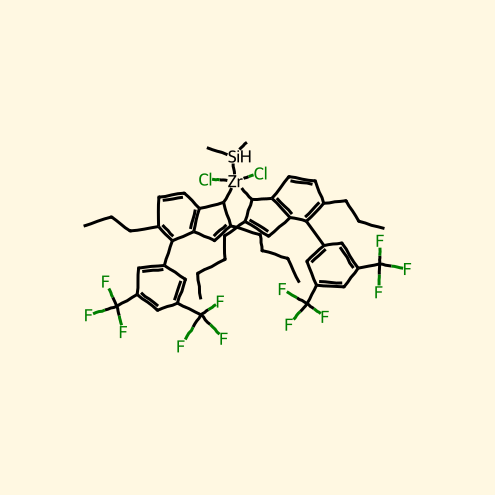 CCCCC1=Cc2c(ccc(CCC)c2-c2cc(C(F)(F)F)cc(C(F)(F)F)c2)[CH]1[Zr]([Cl])([Cl])([CH]1C(CCCC)=Cc2c1ccc(CCC)c2-c1cc(C(F)(F)F)cc(C(F)(F)F)c1)[SiH](C)C